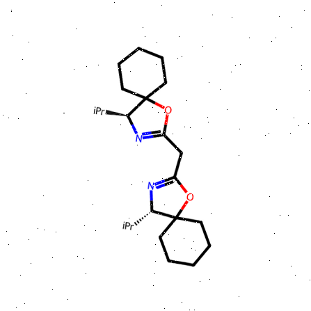 CC(C)[C@@H]1N=C(CC2=N[C@@H](C(C)C)C3(CCCCC3)O2)OC12CCCCC2